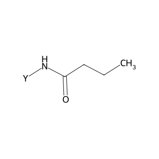 CCCC(=O)[NH][Y]